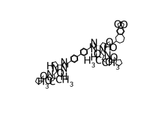 CC(C)[C@H](NC(=O)OC1CCCC1)C(=O)N1CCC[C@H]1c1nc(-c2ccc(-c3ccc(-c4cnc([C@@H]5C[C@@H](OC(=O)C6CCCc7cc8c(cc7C6)OCO8)CN5C(=O)[C@@H](NC(=O)OC5CCCC5)C(C)C)[nH]4)cc3)cc2)c[nH]1